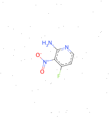 Nc1nccc(F)c1[N+](=O)[O-]